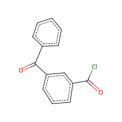 O=C(Cl)c1cccc(C(=O)c2ccccc2)c1